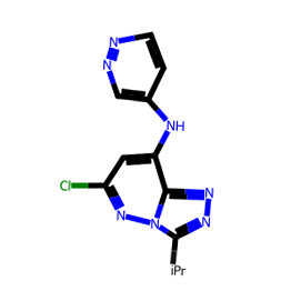 CC(C)c1nnc2c(Nc3ccnnc3)cc(Cl)nn12